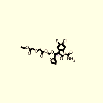 CCOC(=O)COCC(=O)OCO/C(=C1/C(=O)N(C(N)=O)c2cc(Cl)c(F)cc21)c1cccs1